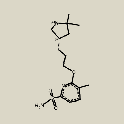 Cc1ccc(S(N)(=O)=O)nc1OCCC[C@@H]1CNC(C)(C)C1